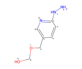 NNc1ccc(COCO)cn1